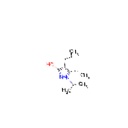 CCCc1c(O)nn(C(C)C)c1CC